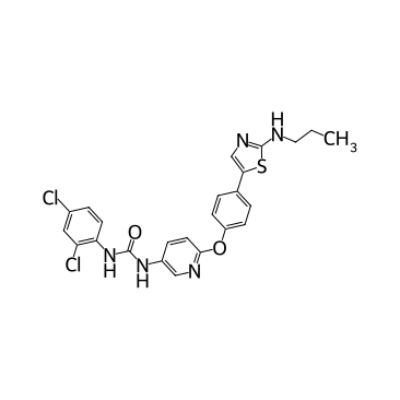 CCCNc1ncc(-c2ccc(Oc3ccc(NC(=O)Nc4ccc(Cl)cc4Cl)cn3)cc2)s1